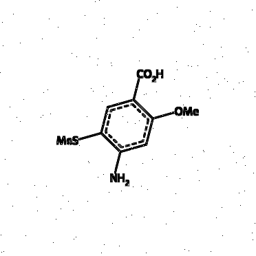 COc1cc(N)c(SC)cc1C(=O)O